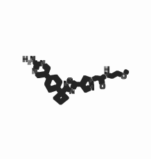 COCCNC(=O)Cn1cc(-c2nc(C3(c4ccc(-c5cnc(N)nc5)cc4)CCC3)no2)cn1